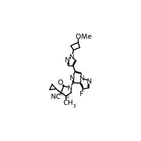 COC1CC(n2cc(-c3cn4ncc(F)c4c(N4C[C@@H](C)[C@@](C#N)(C5CC5)C4=O)n3)cn2)C1